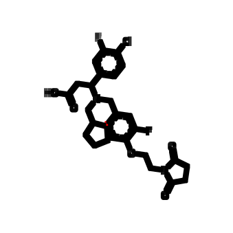 O=C(O)CC(c1ccc(Cl)c(F)c1)N(Cc1ccc(OCCN2C(=O)CCC2=O)c(F)c1)CC1CCCC1